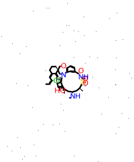 C=C1/C(=C\C(Cl)=C/C)CCC[C@]12COc1ccc3cc1N(C[C@@H]1CC[C@H]1[C@@](C)(O)C[C@H](NC)C[C@H](C)[C@@H](C)S(=O)(=O)NC3=O)C2